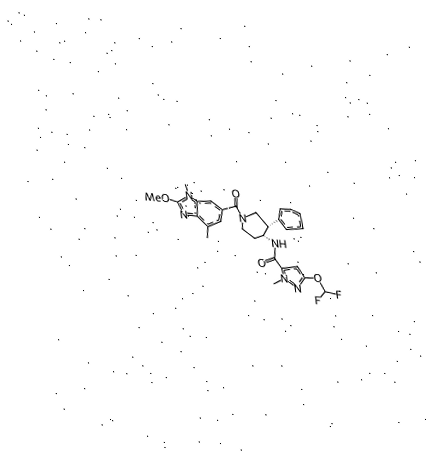 COc1nc2c(C)cc(C(=O)N3CC[C@@H](NC(=O)c4cc(OC(F)F)nn4C)[C@@H](c4ccccc4)C3)cc2n1C